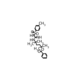 Cc1ccc(S(=O)(=O)NC(=N)NC(C)(C)CCC(C)(C)OC(=O)c2ccccc2)cc1